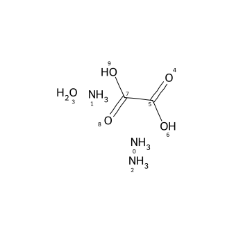 N.N.N.O.O=C(O)C(=O)O